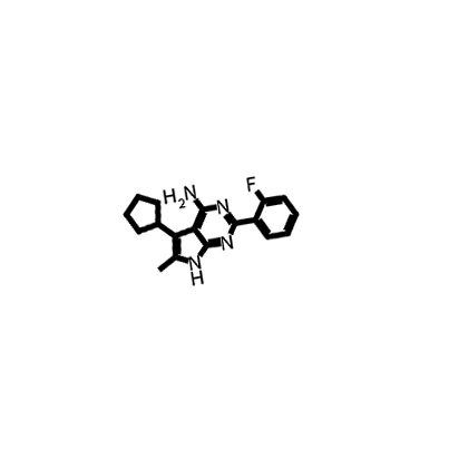 Cc1[nH]c2nc(-c3ccccc3F)nc(N)c2c1C1CCCC1